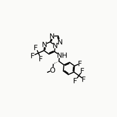 COC[C@H](Nc1cc(C(F)(F)F)nc2ncnn12)c1ccc(C(F)(F)F)c(F)c1